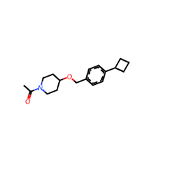 CC(=O)N1CCC(OCc2ccc(C3CCC3)cc2)CC1